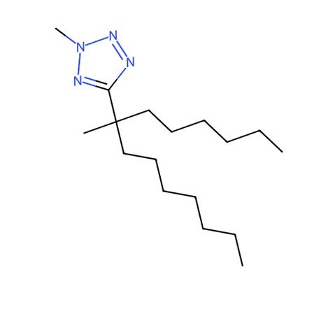 CCCCCCCC(C)(CCCCCC)c1nnn(C)n1